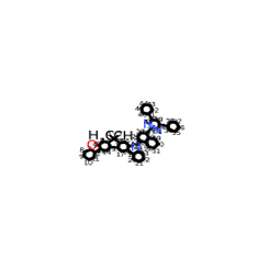 CC1(C)c2cc3oc4ccccc4c3cc2-c2cc3c4ccccc4n(-c4ccc(-c5nc(-c6ccccc6)cc(-c6ccccc6)n5)c5ccccc45)c3cc21